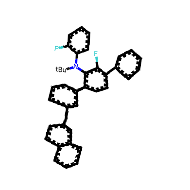 CC(C)(C)N(c1ccccc1F)c1c(-c2cccc(-c3ccc4ccccc4c3)c2)ccc(-c2ccccc2)c1F